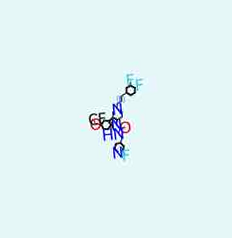 O=C(NCc1ccnc(F)c1)n1c2c(c3cc(OC(F)(F)F)ccc31)CN(C/C=C/c1ccc(F)c(F)c1)CC2